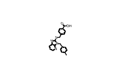 Cc1ccc(Cn2c(SCc3ccc(C(=O)O)cc3)nc3cccnc32)cc1